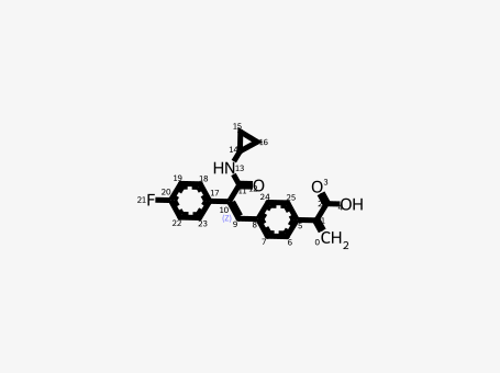 C=C(C(=O)O)c1ccc(/C=C(\C(=O)NC2CC2)c2ccc(F)cc2)cc1